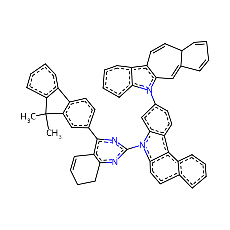 CC1(C)c2ccccc2-c2ccc(-c3nc(-n4c5cc(-n6c7c(c8ccccc86)C=CC6C=CC=CC6=C7)ccc5c5c6ccccc6ccc54)nc4c3C=CCC4)cc21